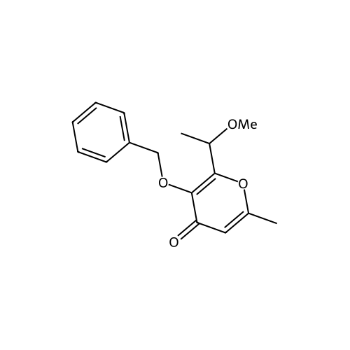 COC(C)c1oc(C)cc(=O)c1OCc1ccccc1